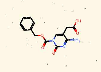 Nc1nc(=O)n(C(=O)OCc2ccccc2)cc1CC(=O)O